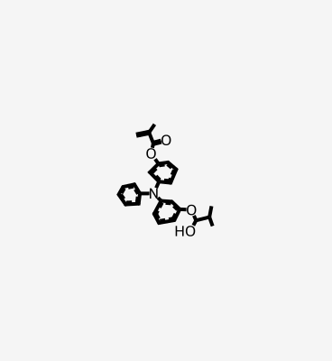 C=C(C)C(=O)Oc1cccc(N(c2ccccc2)c2cccc(OC(O)C(C)C)c2)c1